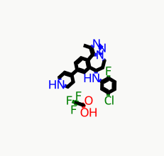 Cc1nnn2c1-c1ccc(C3=CCNCC3)cc1C(Nc1cc(Cl)ccc1F)CC2.O=C(O)C(F)(F)F